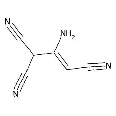 N#CC=C(N)C(C#N)C#N